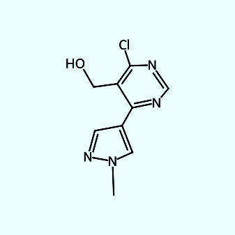 Cn1cc(-c2ncnc(Cl)c2CO)cn1